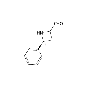 O=CC1C[C@@H](c2ccccc2)N1